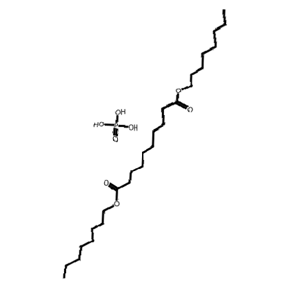 CCCCCCCCOC(=O)CCCCCCCCC(=O)OCCCCCCCC.O=P(O)(O)O